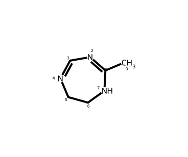 CC1=NC=NCCN1